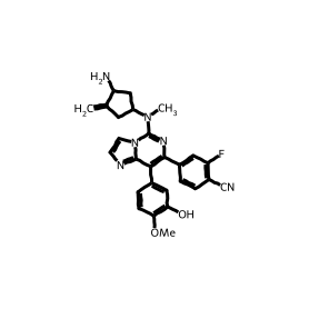 C=C1CC(N(C)c2nc(-c3ccc(C#N)c(F)c3)c(-c3ccc(OC)c(O)c3)c3nccn23)CC1N